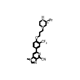 CC(C)[C@H]1CN(CCCOc2ccc(-c3cc4c(ncn4C)c(C#N)n3)cc2C(F)(F)F)CCN1